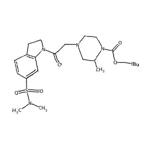 CC1CN(CC(=O)N2CCc3ccc(S(=O)(=O)N(C)C)cc32)CCN1C(=O)OC(C)(C)C